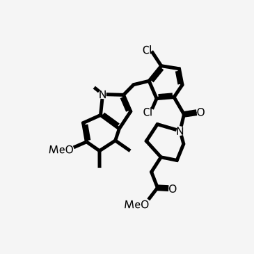 COC(=O)CC1CCN(C(=O)c2ccc(Cl)c(Cc3cc4c(n3C)C=C(OC)C(C)C4C)c2Cl)CC1